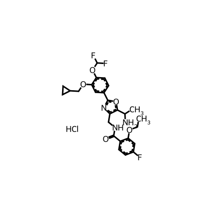 CCOc1cc(F)ccc1C(=O)NCc1nc(-c2ccc(OC(F)F)c(OCC3CC3)c2)oc1C(C)N.Cl